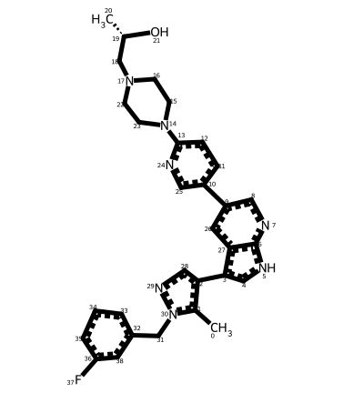 Cc1c(-c2c[nH]c3ncc(-c4ccc(N5CCN(C[C@H](C)O)CC5)nc4)cc23)cnn1Cc1cccc(F)c1